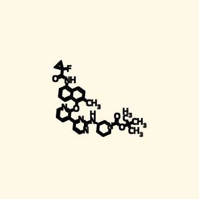 Cc1ccc2c(NC(=O)C3(F)CC3)cccc2c1Oc1ncccc1-c1ccnc(N[C@H]2CCCN(C(=O)OC(C)(C)C)C2)n1